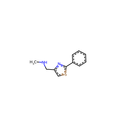 CNCc1csc(-c2ccccc2)n1